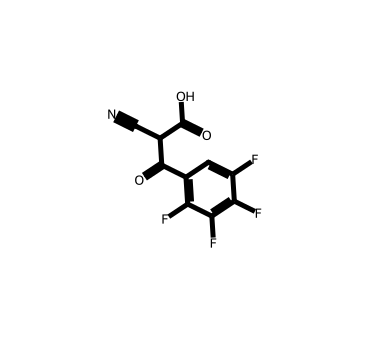 N#CC(C(=O)O)C(=O)c1cc(F)c(F)c(F)c1F